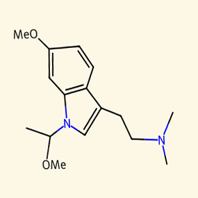 COc1ccc2c(CCN(C)C)cn(C(C)OC)c2c1